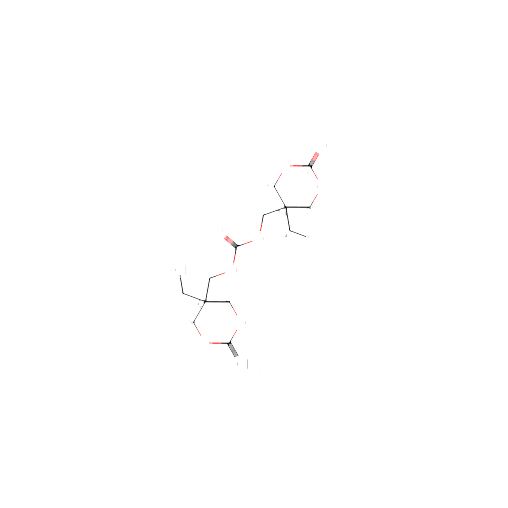 C=C1OCC(CC)(COC(=O)OCC2(CC)COC(=O)OC2)CO1